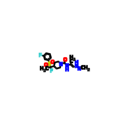 C=NN/C=C(\C)NC(=O)N1CCC(C(C)(F)S(=O)(=O)c2cccc(F)c2)CC1